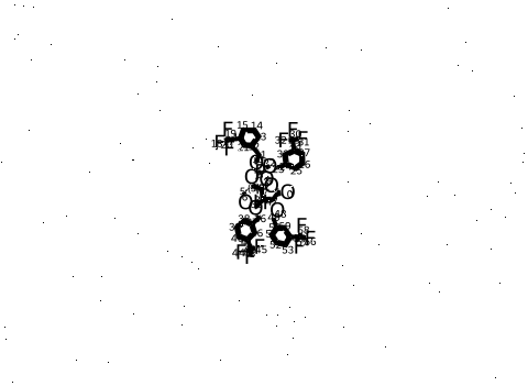 O=C1O[C@H]([C@H](CO)OP(=O)(OCc2cccc(C(F)(F)F)c2)OCc2cccc(C(F)(F)F)c2)C(OCc2cccc(C(F)(F)F)c2)=C1OCc1cccc(C(F)(F)F)c1